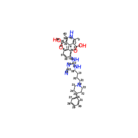 CC1=C(C(=O)O)C(c2cccc(NC(=NC#N)NCCCCN3CCC(c4ccccc4)CC3)c2)C(C(=O)O)=C(C)N1